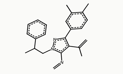 C=Nc1c(C(=C)C)c(-c2ccc(C)c(C)c2)nn1CC(C)c1ccccc1